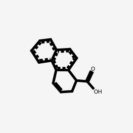 O=C(O)C1CC=Cc2c1ccc1ccccc21